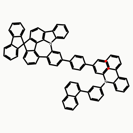 c1ccc(-c2ccccc2N(c2cccc(-c3ccc(-c4ccc5c(c4)-n4c6ccccc6c6ccc7c(c64)-c4c-5cccc4C74c5ccccc5-c5ccccc54)cc3)c2)c2cccc(-c3cccc4ccccc34)c2)cc1